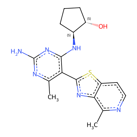 Cc1nc(N)nc(N[C@H]2CCC[C@@H]2O)c1-c1nc2c(C)nccc2s1